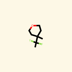 CC(F)(F)C1(C)CCOCC1